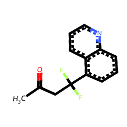 CC(=O)CC(F)(F)c1cccc2ncccc12